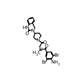 CN(CC(=O)N1CCC(N2Cc3ccccc3NC2=O)CC1)C(=O)c1cc(Br)c(N)c(Br)c1